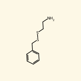 NCCSSCc1ccccc1